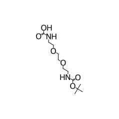 CC(C)(C)OC(=O)NCCOCCOCCNC(=O)O